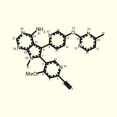 C#Cc1cc(OC)c(-c2c(-c3ccc(Oc4nccc(C)n4)cn3)c3c(N)ncnc3n2C)cn1